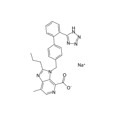 CCCc1nc2c(C)cnc(C(=O)[O-])c2n1Cc1ccc(-c2ccccc2-c2nnn[nH]2)cc1.[Na+]